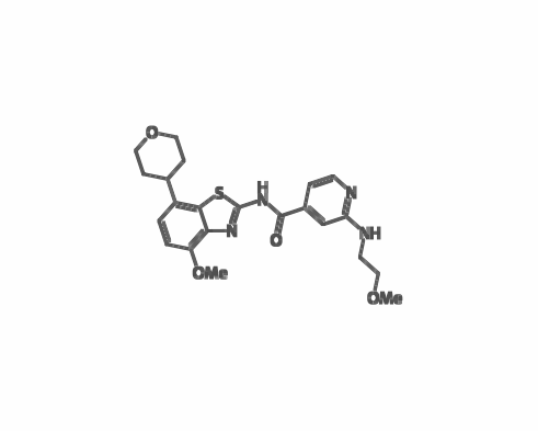 COCCNc1cc(C(=O)Nc2nc3c(OC)ccc(C4CCOCC4)c3s2)ccn1